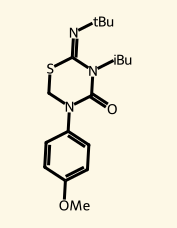 CCC(C)N1C(=O)N(c2ccc(OC)cc2)CSC1=NC(C)(C)C